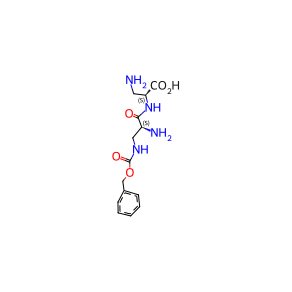 NC[C@H](NC(=O)[C@@H](N)CNC(=O)OCc1ccccc1)C(=O)O